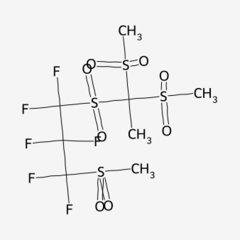 CC(S(C)(=O)=O)(S(C)(=O)=O)S(=O)(=O)C(F)(F)C(F)(F)C(F)(F)S(C)(=O)=O